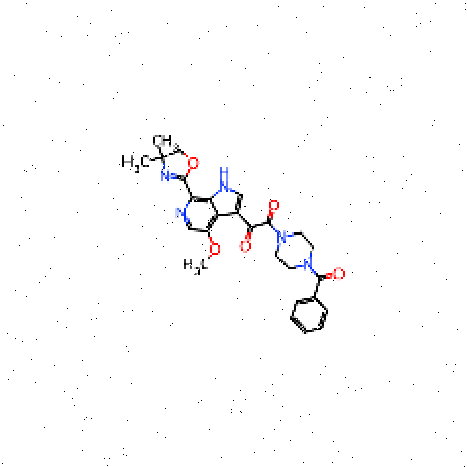 COc1cnc(C2=NC(C)(C)CO2)c2[nH]cc(C(=O)C(=O)N3CCN(C(=O)c4ccccc4)CC3)c12